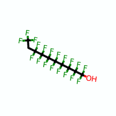 OC(F)(F)C(F)(F)C(F)(F)C(F)(F)C(F)(F)C(F)(F)C(F)(F)C(F)(F)CC(F)(F)F